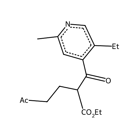 CCOC(=O)C(CCC(C)=O)C(=O)c1cc(C)ncc1CC